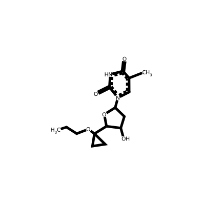 CCCOC1(C2OC(n3cc(C)c(=O)[nH]c3=O)CC2O)CC1